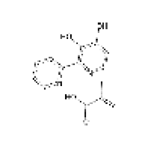 C=C(C)C(=O)O.Oc1ccnc(-c2ccccn2)c1O